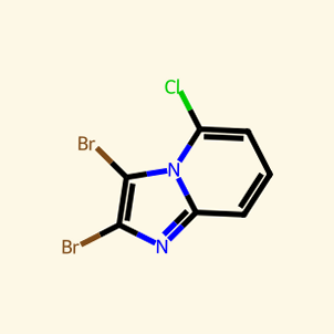 Clc1cccc2nc(Br)c(Br)n12